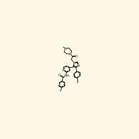 CN1CCN(C(=O)Cn2cnc(-c3ccc(F)cc3)c2-c2ccnc(NC(=O)c3ccc(F)cc3)c2)CC1